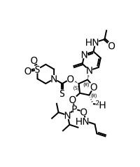 [2H]C[C@H]1O[C@@H](N2C=CC(NC(C)=O)=NC2=C)[C@@H](OC(=S)N2CCS(=O)(=O)CC2)C1OP(ONCC=C)N(C(C)C)C(C)C